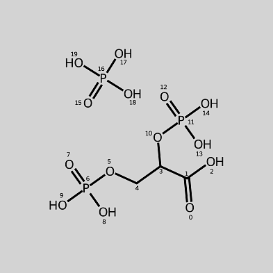 O=C(O)C(COP(=O)(O)O)OP(=O)(O)O.O=P(O)(O)O